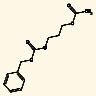 CC(=O)OCCCOC(=O)OCc1ccccc1